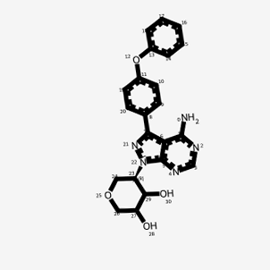 Nc1ncnc2c1c(-c1ccc(Oc3ccccc3)cc1)nn2[C@@H]1COCC(O)C1O